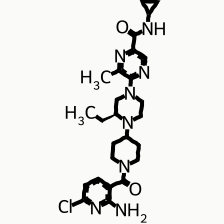 CC[C@H]1CN(c2ncc(C(=O)NC3CC3)nc2C)CCN1C1CCN(C(=O)c2ccc(Cl)nc2N)CC1